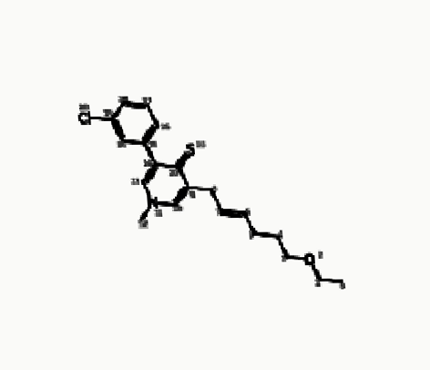 CCOCCC/C=C/Cc1cn(C)cc(-c2cccc(Cl)c2)c1=S